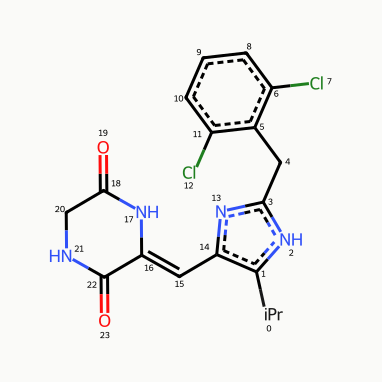 CC(C)c1[nH]c(Cc2c(Cl)cccc2Cl)nc1C=C1NC(=O)CNC1=O